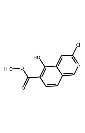 COC(=O)c1ccc2cnc(Cl)cc2c1O